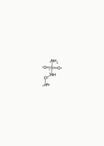 CCCONS(N)(=O)=O